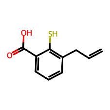 C=CCc1cccc(C(=O)O)c1S